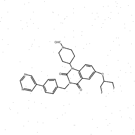 O=CN1CCC(n2c(=O)n(Cc3ccc(-c4cncnc4)cc3)c(=O)c3cc(OC(CF)CF)ccc32)CC1